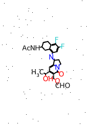 CC(=O)NC1CCc2c(F)c(F)cc(/N=C3\CCn4c3cc(C(C)O)c(COC=O)c4=O)c2C1